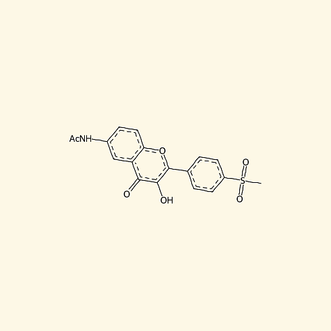 CC(=O)Nc1ccc2oc(-c3ccc(S(C)(=O)=O)cc3)c(O)c(=O)c2c1